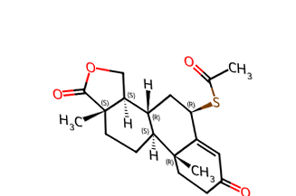 CC(=O)S[C@@H]1C[C@@H]2[C@H](CC[C@]3(C)C(=O)OC[C@@H]23)[C@@]2(C)CCC(=O)C=C12